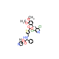 COc1ccc([C@H](Cc2c(Cl)cncc2Cl)OC(=O)c2cc(CNC(C(=O)O[C@H]3CN4CCC3CC4)c3ccccc3)cs2)cc1OC